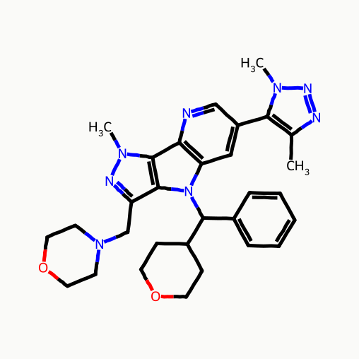 Cc1nnn(C)c1-c1cnc2c3c(c(CN4CCOCC4)nn3C)n(C(c3ccccc3)C3CCOCC3)c2c1